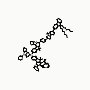 CCCCCCCC1(CCCCCCC)c2ccccc2-c2ccc(-c3ccc4c(c3)C(C)(C)c3cc(-c5ccc(-c6cc7c(c8c6oc6ccccc68)-c6ccc(N(c8ccc9c(c8)C(C)(C)c8c%10c(c%11c(oc%12ccccc%12%11)c8-9)-c8ccccc8C%10(C)C)c8ccc9c(c8)c8ccccc8n9-c8ccccc8)cc6C7(C)C)cc5)ccc3-4)cc21